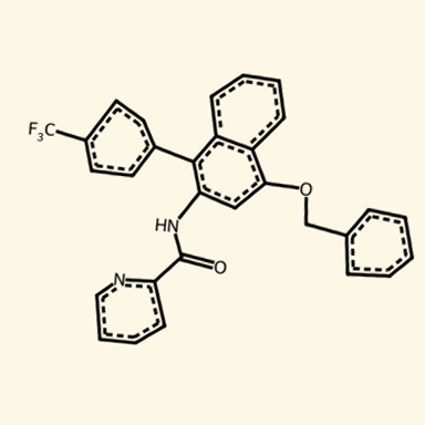 O=C(Nc1cc(OCc2ccccc2)c2ccccc2c1-c1ccc(C(F)(F)F)cc1)c1ccccn1